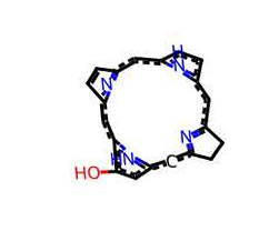 Oc1cc2cc3nc(cc4ccc(cc5nc(cc1[nH]2)C=C5)[nH]4)CC3